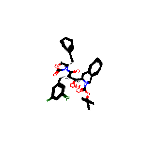 CC(C)(C)OC(=O)N1Cc2ccccc2CC1[C@@H](O)[C@H](Cc1cc(F)cc(F)c1)C(=O)N1C(=O)OC[C@@H]1Cc1ccccc1